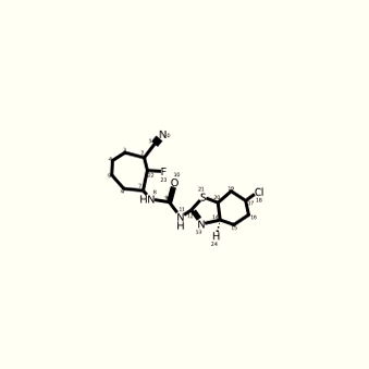 N#CC1CCCCC(NC(=O)NC2=N[C@@H]3CCC(Cl)CC3S2)C1F